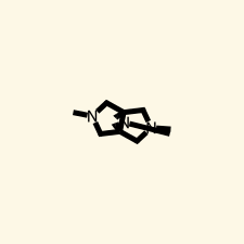 CN1CC23CN(C)CC2(C1)CN(C)C3